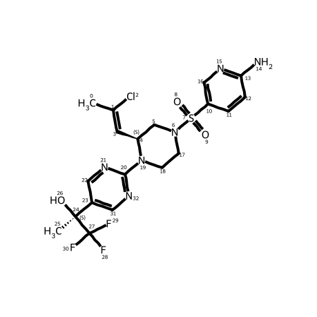 CC(Cl)=C[C@H]1CN(S(=O)(=O)c2ccc(N)nc2)CCN1c1ncc([C@](C)(O)C(F)(F)F)cn1